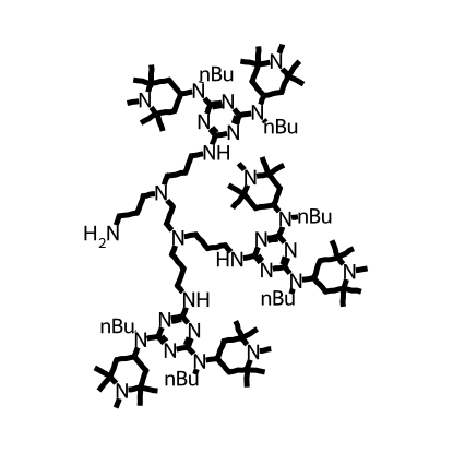 CCCCN(c1nc(NCCCN(CCCN)CCN(CCCNc2nc(N(CCCC)C3CC(C)(C)N(C)C(C)(C)C3)nc(N(CCCC)C3CC(C)(C)N(C)C(C)(C)C3)n2)CCCNc2nc(N(CCCC)C3CC(C)(C)N(C)C(C)(C)C3)nc(N(CCCC)C3CC(C)(C)N(C)C(C)(C)C3)n2)nc(N(CCCC)C2CC(C)(C)N(C)C(C)(C)C2)n1)C1CC(C)(C)N(C)C(C)(C)C1